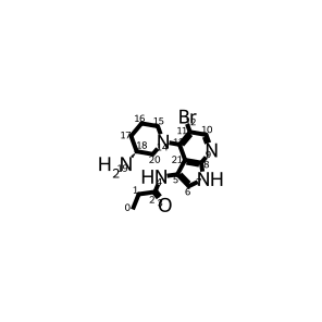 CCC(=O)Nc1c[nH]c2ncc(Br)c(N3CCC[C@@H](N)C3)c12